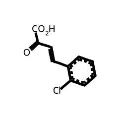 O=C(O)C(=O)/C=C/c1ccccc1Cl